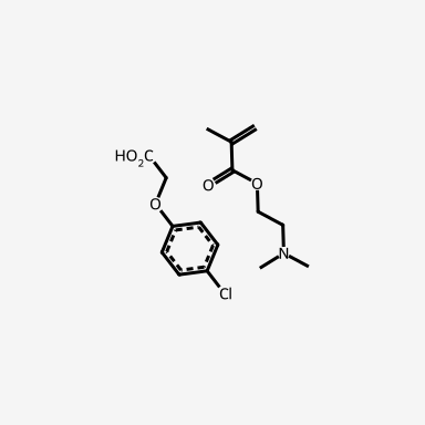 C=C(C)C(=O)OCCN(C)C.O=C(O)COc1ccc(Cl)cc1